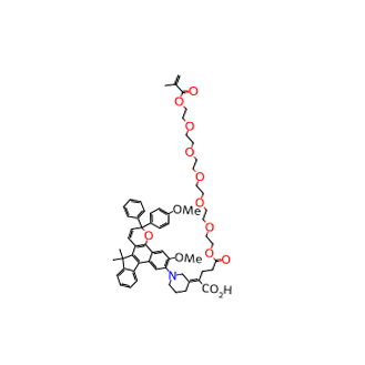 C=C(C)C(=O)OCCOCCOCCOCCOCCOCCOC(=O)CCC(C(=O)O)=C1CCCN(c2cc3c4c(c5c(c3cc2OC)OC(c2ccccc2)(c2ccc(OC)cc2)C=C5)C(C)(C)c2ccccc2-4)C1